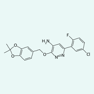 CC1(C)Oc2ccc(COc3nnc(-c4cc(Cl)ccc4F)cc3N)cc2O1